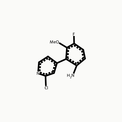 COc1c(F)ccc(N)c1-c1ccnc(Cl)c1